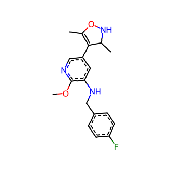 COc1ncc(C2=C(C)ONC2C)cc1NCc1ccc(F)cc1